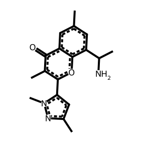 Cc1cc(C(C)N)c2oc(-c3cc(C)nn3C)c(C)c(=O)c2c1